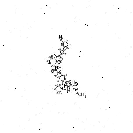 CCCOC(=O)[C@H](C)NP(=O)(Cc1ccc2sc(C(=O)N[C@H]3CCC[C@H]4CC[C@@H](C(=O)N5CC(c6cccc(C#N)n6)C5)N4C3=O)cc2c1)Oc1ccccc1